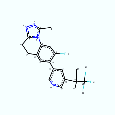 Cc1nnc2n1-c1cc(F)c(-c3cncc(C(C)(C)C(F)(F)F)c3)cc1CC2